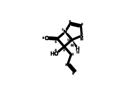 C=CCC1(O)C(=O)N2C=CS[C@H]21